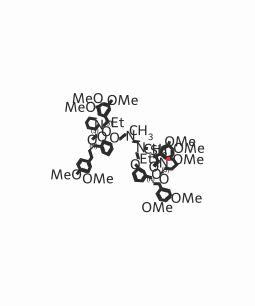 CC[C@H](C(=O)N1CCCC[C@H]1C(=O)O[C@H](CCc1ccc(OC)c(OC)c1)c1cccc(OCCN(C)CCN(C)CCOc2cccc([C@@H](CCc3ccc(OC)c(OC)c3)OC(=O)[C@@H]3CCCCN3C(=O)C(S)(CC)c3cc(OC)c(OC)c(OC)c3)c2)c1)c1cc(OC)c(OC)c(OC)c1